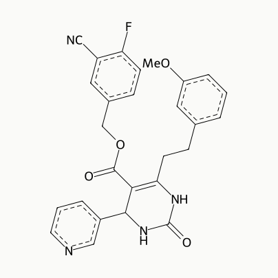 COc1cccc(CCC2=C(C(=O)OCc3ccc(F)c(C#N)c3)C(c3cccnc3)NC(=O)N2)c1